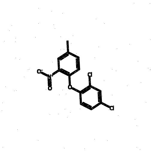 Cc1ccc(Oc2ccc(Cl)cc2Cl)c([N+](=O)[O-])c1